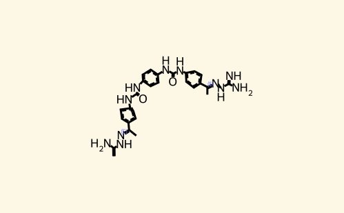 C=C(N)N/N=C(\C)c1ccc(NC(=O)Nc2ccc(NC(=O)Nc3ccc(/C(C)=N/NC(=N)N)cc3)cc2)cc1